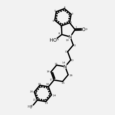 O=C1c2ccccc2C(O)N1CCCN1CC=C(c2ccc(F)cc2)CC1